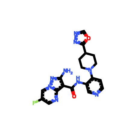 Nc1nn2cc(F)cnc2c1C(=O)Nc1cnccc1N1CCC(c2nnco2)CC1